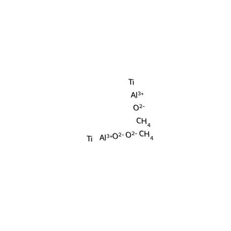 C.C.[Al+3].[Al+3].[O-2].[O-2].[O-2].[Ti].[Ti]